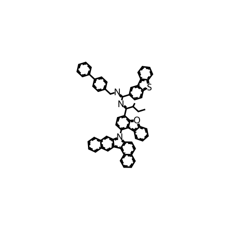 CCC(C)/C(=N\C(=N/Cc1ccc(-c2ccccc2)cc1)c1ccc2sc3ccccc3c2c1)c1ccc(-n2c3cc4ccccc4cc3c3c4ccccc4ccc32)c2c1oc1ccccc12